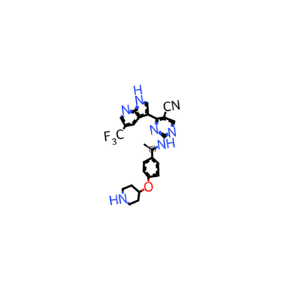 C[C@@H](Nc1ncc(C#N)c(-c2c[nH]c3ncc(C(F)(F)F)cc23)n1)c1ccc(OC2CCNCC2)cc1